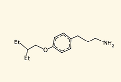 CCC(CC)COc1ccc(CCCN)cc1